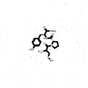 COC(=O)[C@H](Cc1ccc(O)cc1)NC(=O)[C@@H]1CCCN1C(=O)C(C)CSC(C)=O